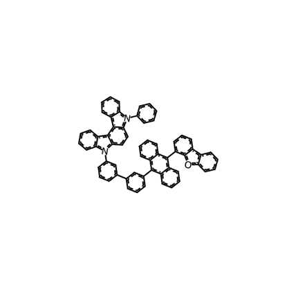 c1ccc(-n2c3ccccc3c3c4c5ccccc5n(-c5cccc(-c6cccc(-c7c8ccccc8c(-c8cccc9c8oc8ccccc89)c8ccccc78)c6)c5)c4ccc32)cc1